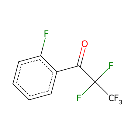 O=C(c1ccccc1F)C(F)(F)C(F)(F)F